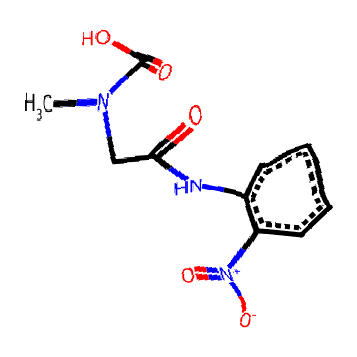 CN(CC(=O)Nc1ccccc1[N+](=O)[O-])C(=O)O